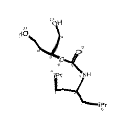 CC(C)CC(CC(C)C)NC(=O)OC(CO)CO